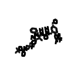 COCc1ccc(OC(F)(F)F)c(CNC(=O)Nc2c(C)c(OCC3(F)CN(C(=O)OC(C)(C)C)C3)nn2-c2ccccc2)c1